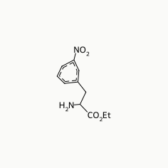 CCOC(=O)C(N)Cc1cccc([N+](=O)[O-])c1